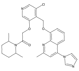 Cc1cc(-n2ccnc2)c2cccc(OCc3c(Cl)cncc3OCC(=O)N3C(C)CCCC3C)c2n1